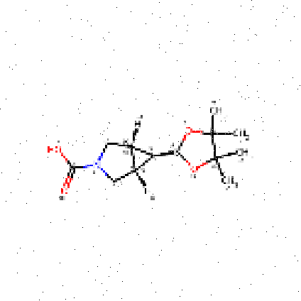 CC1(C)OB([C@H]2[C@@H]3CN(C(=O)O)C[C@@H]32)OC1(C)C